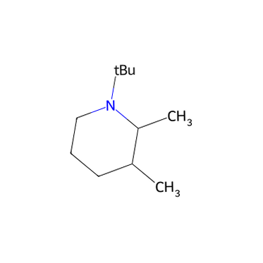 CC1CCCN(C(C)(C)C)C1C